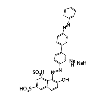 O=S(=O)(O)c1cc(S(=O)(=O)O)c2c(N=Nc3ccc(-c4ccc(/N=N/c5ccccc5)cc4)cc3)c(O)ccc2c1.[NaH].[NaH]